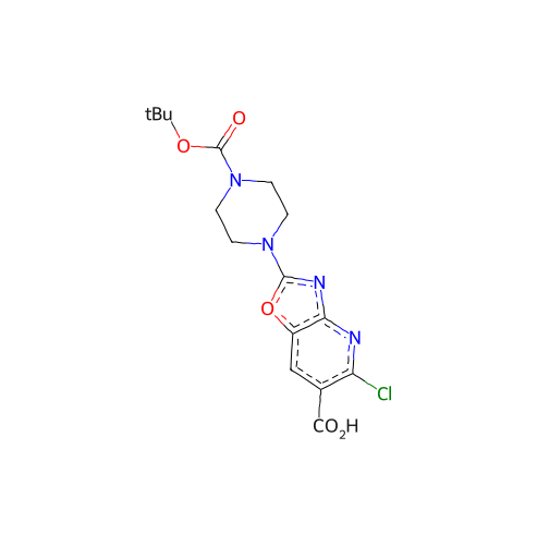 CC(C)(C)OC(=O)N1CCN(c2nc3nc(Cl)c(C(=O)O)cc3o2)CC1